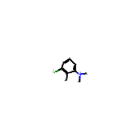 Cc1c(Br)cccc1N(C)C